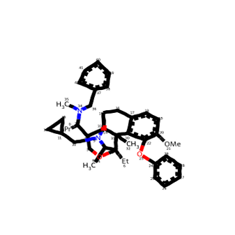 CCCC(C1COC2(CC)C(C)N(CC3CC3)CC3Cc4ccc(OC)c(Oc5ccccc5)c4C2(C)C31)N(C)Cc1ccccc1